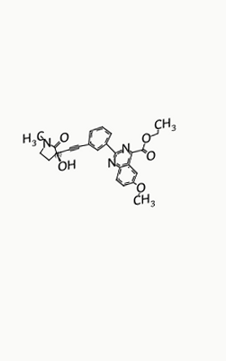 CCOC(=O)c1nc(-c2cccc(C#C[C@]3(O)CCN(C)C3=O)c2)nc2ccc(OC)cc12